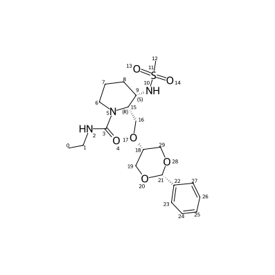 CCNC(=O)N1CCC[C@H](NS(C)(=O)=O)[C@@H]1CO[C@H]1CO[C@@H](c2ccccc2)OC1